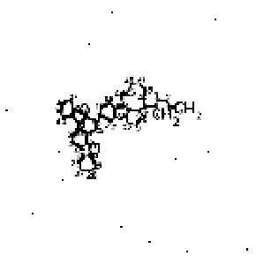 C=C/C=C\C(=C)C1=c2\cccc\c2=C(c2ccc(-c3cc4c(ccc5c6ccccc6oc54)c4c3oc3ccccc34)cc2)\C=C\CC\C=C\1